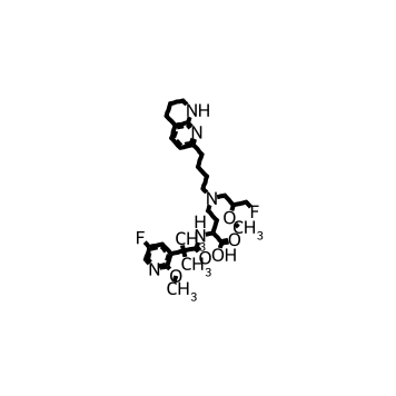 COc1ncc(F)cc1C(C)(C)C(=O)NC(CCN(CCCCc1ccc2c(n1)NCCC2)CC(CF)OC)C(=O)O